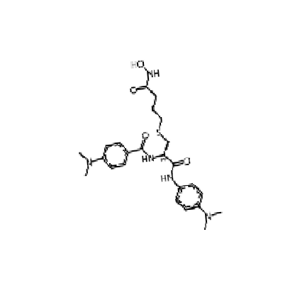 CN(C)c1ccc(NC(=O)[C@H](CSCCCC(=O)NO)NC(=O)c2ccc(N(C)C)cc2)cc1